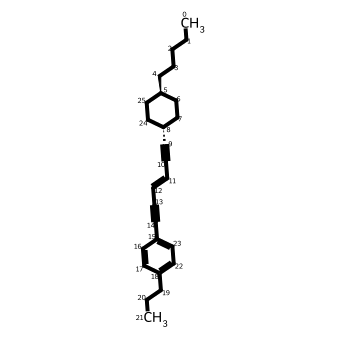 CCCCC[C@H]1CC[C@H](C#CC=CC#Cc2ccc(CCC)cc2)CC1